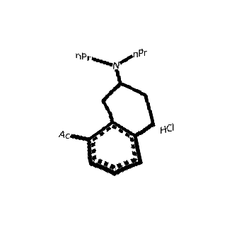 CCCN(CCC)C1CCc2cccc(C(C)=O)c2C1.Cl